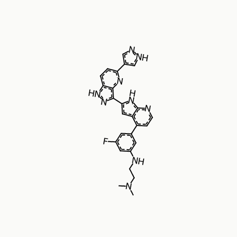 CN(C)CCNc1cc(F)cc(-c2ccnc3[nH]c(-c4n[nH]c5ccc(-c6cn[nH]c6)nc45)cc23)c1